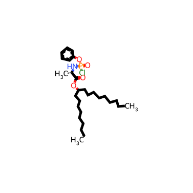 CCCCCCCCCC(CCCCCCCCC)OC(=O)[C@H](C)NP(=O)(Cl)Oc1ccccc1